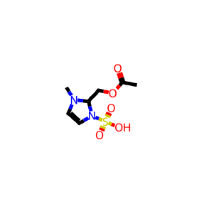 CC(=O)OCC1N(C)C=CN1S(=O)(=O)O